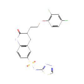 O=C1Nc2ccc(S(=O)(=O)Nc3nncs3)cc2CC1CCOc1ccc(Cl)cc1Cl